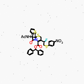 CC(=O)NC1(c2cccs2)C(=O)N2C(C(=O)OC(c3ccccc3)c3ccccc3)=C(C(F)CSc3ccc([N+](=O)[O-])cc3)CS[C@H]21